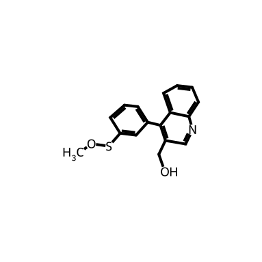 COSc1cccc(-c2c(CO)cnc3ccccc23)c1